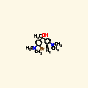 Bc1cc(C(C)(O)c2ccc(N(C)C)c(Br)c2)ccc1N(C)C